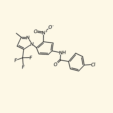 Cc1cc(C(F)(F)F)n(-c2ccc(NC(=O)c3ccc(Cl)cc3)cc2[N+](=O)[O-])n1